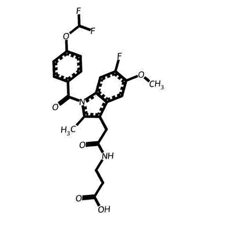 COc1cc2c(CC(=O)NCCC(=O)O)c(C)n(C(=O)c3ccc(OC(F)F)cc3)c2cc1F